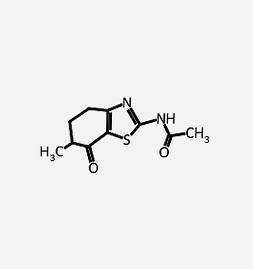 CC(=O)Nc1nc2c(s1)C(=O)C(C)CC2